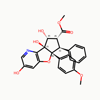 COC(=O)[C@H]1[C@@H](O)[C@@]2(O)c3ncc(O)cc3O[C@@]2(c2ccc(OC)cc2)[C@@H]1c1ccccc1